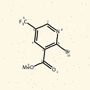 COC(=O)c1cc(C(F)(F)F)cnc1Br